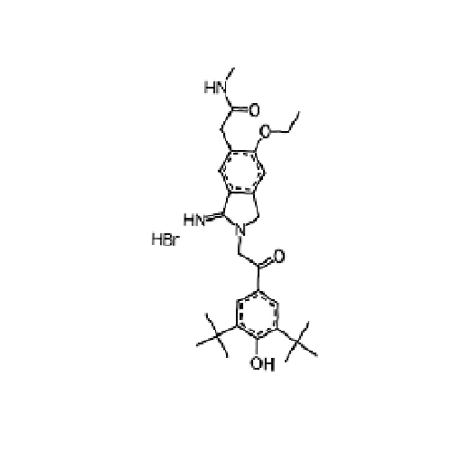 Br.CCOc1cc2c(cc1CC(=O)NC)C(=N)N(CC(=O)c1cc(C(C)(C)C)c(O)c(C(C)(C)C)c1)C2